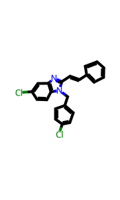 Clc1ccc(Cn2c(/C=C/c3ccccc3)nc3cc(Cl)ccc32)cc1